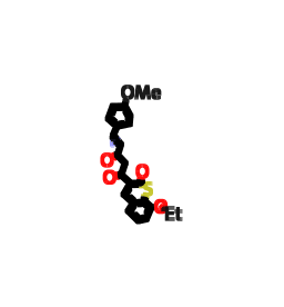 CCOc1cccc2cc(C(=O)CC(=O)/C=C/c3ccc(OC)cc3)c(=O)sc12